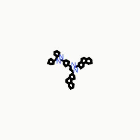 c1ccc(-c2nc(-c3ccc(-c4cc(-c5ccc6c(ccc7ccccc76)c5)nc(-c5ccc6c(ccc7ccccc76)c5)n4)cc3)nc3ccccc23)cc1